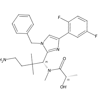 C[C@H](O)C(=O)N(C)[C@@H](c1nc(-c2cc(F)ccc2F)cn1Cc1ccccc1)C(C)(C)CCN